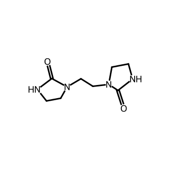 O=C1NCCN1CCN1CCNC1=O